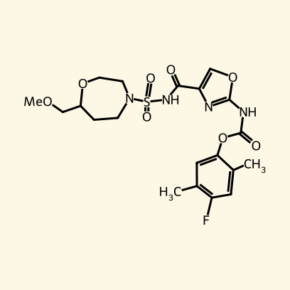 COCC1CCN(S(=O)(=O)NC(=O)c2coc(NC(=O)Oc3cc(C)c(F)cc3C)n2)CCO1